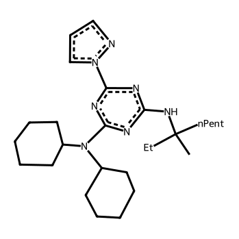 CCCCCC(C)(CC)Nc1nc(N(C2CCCCC2)C2CCCCC2)nc(-n2cccn2)n1